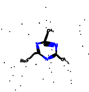 CSc1nc(C)nc(C)n1